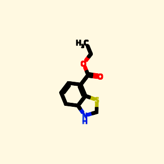 CCOC(=O)C1=C2SCNC2CC=C1